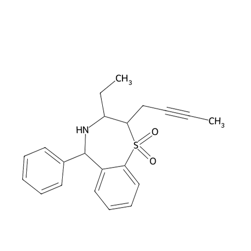 CC#CCC1C(CC)NC(c2ccccc2)c2ccccc2S1(=O)=O